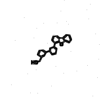 OCc1cccc(-c2cccc(-c3cccc4c3oc3ccccc34)c2)c1